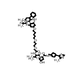 Cc1ncsc1-c1ccc(CNC(=O)[C@@H]2C[C@@H](O)CN2C(=O)C(NC(=O)COCCCOCCCCCOc2cc(F)c([C@@H]3c4[nH]c5ccccc5c4C[C@@H](C)N3CC(C)(C)F)c(F)c2)C(C)(C)C)cc1